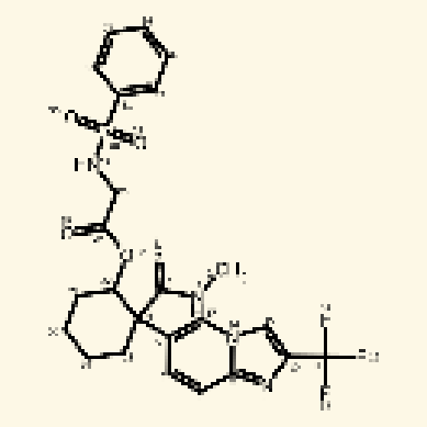 CNC(=S)C1(c2ccc3nc(C(F)(F)F)cn3c2)CCCCC1OC(=O)CNS(=O)(=O)c1ccccc1